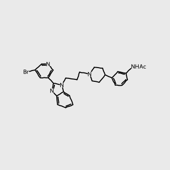 CC(=O)Nc1cccc(C2CCN(CCCn3c(-c4cncc(Br)c4)nc4ccccc43)CC2)c1